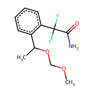 COCOC(C)c1ccccc1C(F)(F)C(N)=O